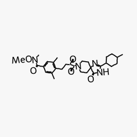 CON(C)C(=O)c1cc(C)c(CCS(=O)(=O)N2CCC3(CC2)N=C(C2CCC(C)CC2)NC3=O)c(C)c1